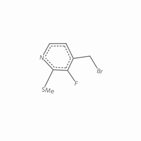 CSc1nccc(CBr)c1F